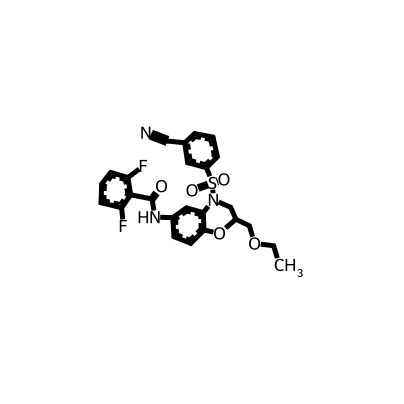 CCOCC1CN(S(=O)(=O)c2cccc(C#N)c2)c2cc(NC(=O)c3c(F)cccc3F)ccc2O1